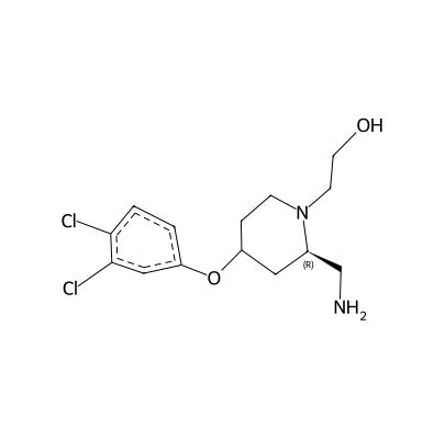 NC[C@H]1CC(Oc2ccc(Cl)c(Cl)c2)CCN1CCO